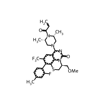 C=CC(=O)N1[C@H](C)CN(c2nc(=O)n3c4c(c(-c5ccc(C)cc5F)c(C(F)(F)F)cc24)SC[C@@H]3COC)C[C@@H]1C